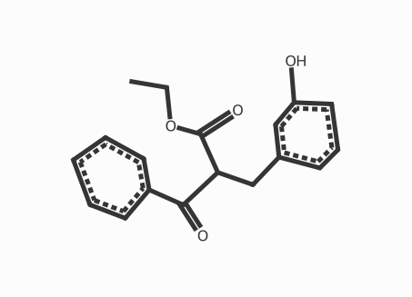 CCOC(=O)C(Cc1cccc(O)c1)C(=O)c1ccccc1